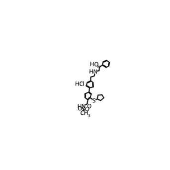 CS(=O)(=O)NC(=O)c1ccc(-c2ccc(CCNC[C@@H](O)c3ccccc3)cc2)cc1SC1CCCC1.Cl